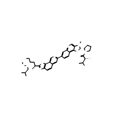 CON[C@H](CC(CCCN)c1nc2ccc3cc(-c4ccc5c6c(cnc5c4)N(C)C([C@@H]4CCCN4C(=O)[C@@H](NO)C(C)C)N6)ncc3c2[nH]1)C(C)C